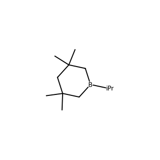 CC(C)B1CC(C)(C)CC(C)(C)C1